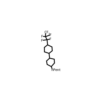 CCCCCC1CCC(C2CCC(C(F)(F)C(F)(F)C(F)(F)F)CC2)CC1